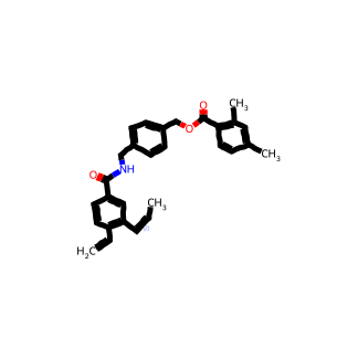 C=Cc1ccc(C(=O)NCc2ccc(COC(=O)c3ccc(C)cc3C)cc2)cc1/C=C\C